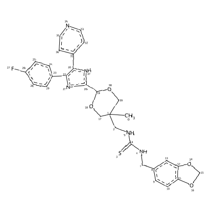 CC1(CNC(=S)NCc2ccc3c(c2)OCO3)COC(c2nc(-c3ccc(F)cc3)c(-c3ccncc3)[nH]2)OC1